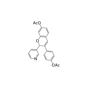 CC(=O)Oc1ccc(C2=Cc3ccc(OC(C)=O)cc3OC2c2cccnc2)cc1